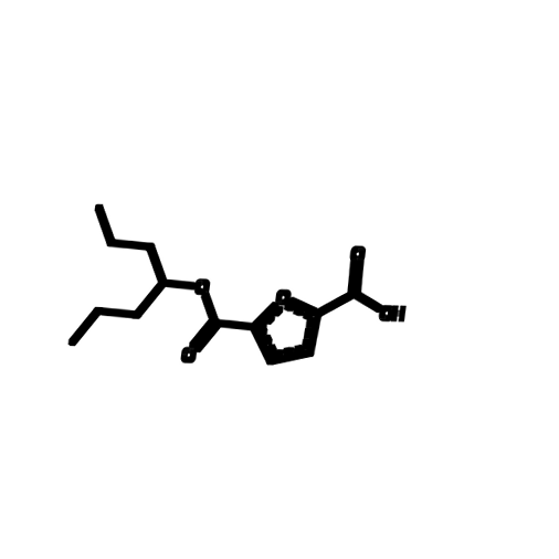 CCCC(CCC)OC(=O)c1ccc(C(=O)O)o1